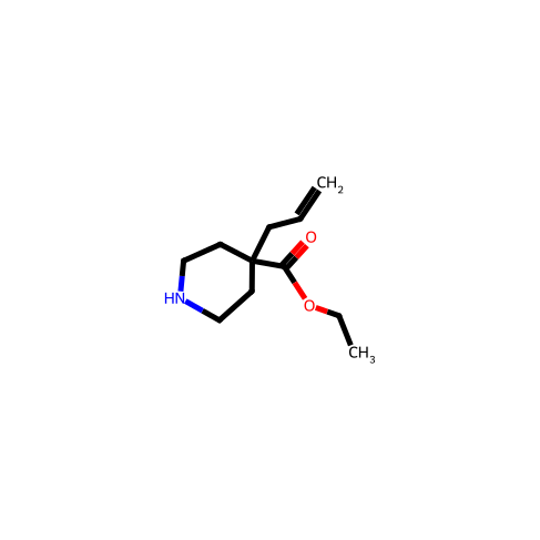 C=CCC1(C(=O)OCC)CCNCC1